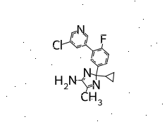 CC1=NC(c2ccc(F)c(-c3cncc(Cl)c3)c2)(C2CC2)N=C1N